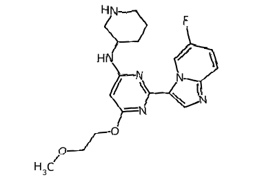 COCCOc1cc(NC2CCCNC2)nc(-c2cnc3ccc(F)cn23)n1